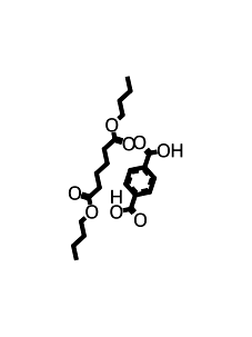 CCCCOC(=O)CCCCC(=O)OCCCC.O=C(O)c1ccc(C(=O)O)cc1